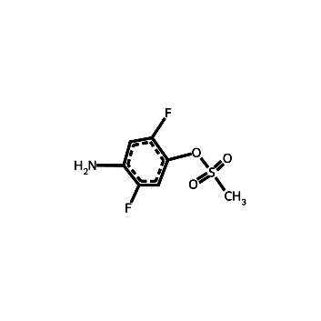 CS(=O)(=O)Oc1cc(F)c(N)cc1F